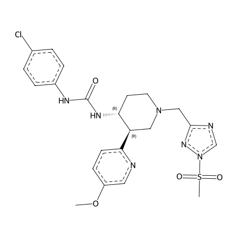 COc1ccc([C@@H]2CN(Cc3ncn(S(C)(=O)=O)n3)CC[C@H]2NC(=O)Nc2ccc(Cl)cc2)nc1